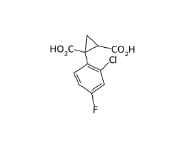 O=C(O)C1CC1(C(=O)O)c1ccc(F)cc1Cl